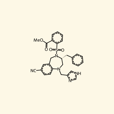 COC(=O)c1ccccc1S(=O)(=O)N1Cc2cc(C#N)ccc2N(Cc2c[nH]cn2)C[C@H]1Cc1ccccc1